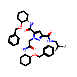 CCCCC(CC)CNC(=O)c1cc(C(=O)N[C@H]2CCCC[C@@H]2OCc2ccccc2)n(CC(=O)N[C@H]2CCCC[C@@H]2OCc2ccccc2)n1